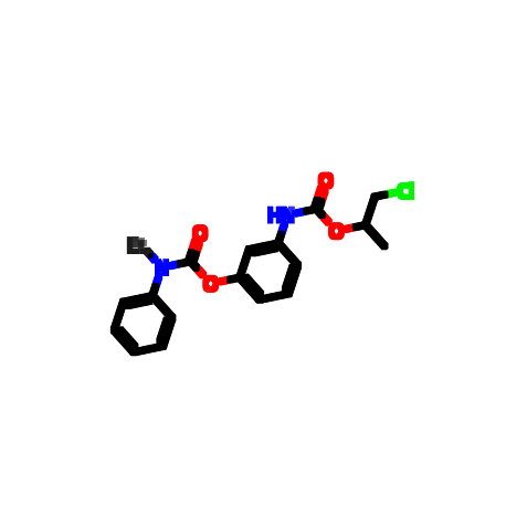 CCN(C(=O)Oc1cccc(NC(=O)OC(C)CCl)c1)c1ccccc1